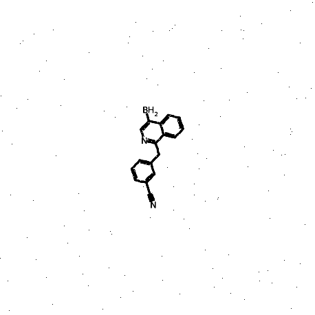 Bc1cnc(Cc2cccc(C#N)c2)c2ccccc12